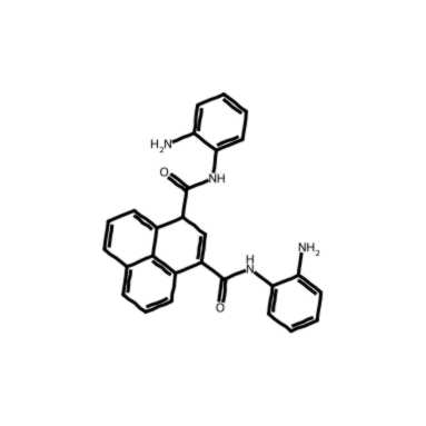 Nc1ccccc1NC(=O)C1=CC(C(=O)Nc2ccccc2N)c2cccc3cccc1c23